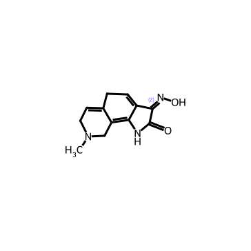 CN1CC=C2CC=C3C(=C2C1)NC(=O)/C3=N\O